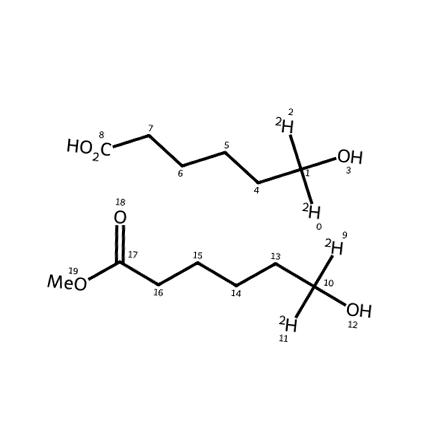 [2H]C([2H])(O)CCCCC(=O)O.[2H]C([2H])(O)CCCCC(=O)OC